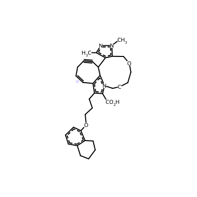 Cc1nn(C)c2c1C1C#CC/C=C\c3c(CCCOc4cccc5c4CCCC5)c(C(=O)O)n(c31)CCCCOC2